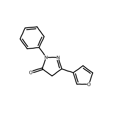 O=C1CC(c2ccoc2)=NN1c1ccccc1